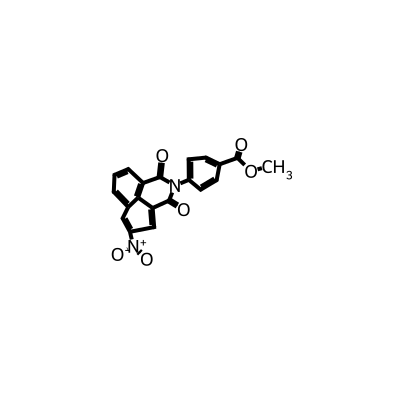 COC(=O)c1ccc(N2C(=O)c3cccc4cc([N+](=O)[O-])cc(c34)C2=O)cc1